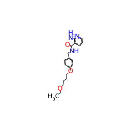 CCOCCCCOc1ccc(CNC(=O)c2cccnc2N)cc1